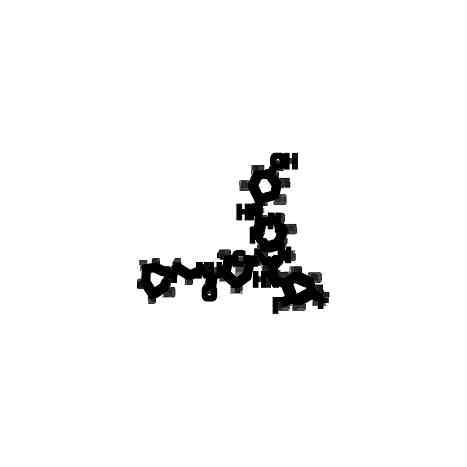 O=C(NCCN1CCCCC1)[C@H]1CC[C@@H](n2c(Nc3ccc(F)cc3F)nc3cnc(N[C@H]4CC[C@H](O)CC4)nc32)CC1